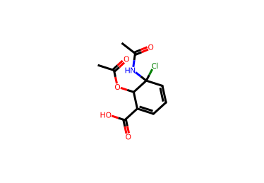 CC(=O)NC1(Cl)C=CC=C(C(=O)O)C1OC(C)=O